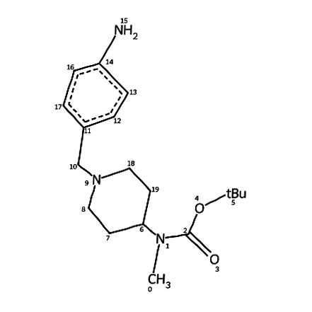 CN(C(=O)OC(C)(C)C)C1CCN(Cc2ccc(N)cc2)CC1